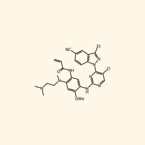 C=CC(=O)Nc1cc(Nc2ncc(Cl)c(-n3nc(CC)c4cc(C#N)ccc43)n2)c(OC)cc1N(C)CCN(C)C